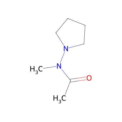 CC(=O)N(C)N1CCCC1